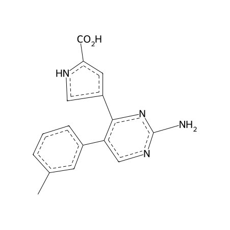 Cc1cccc(-c2cnc(N)nc2-c2c[nH]c(C(=O)O)c2)c1